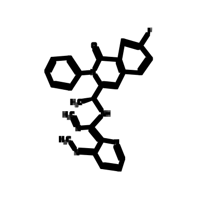 C=N/C(N[C@@H](C)c1cc2ccc(F)cc2c(=O)n1-c1ccccc1)=C1/N=CC=C/C1=N/C